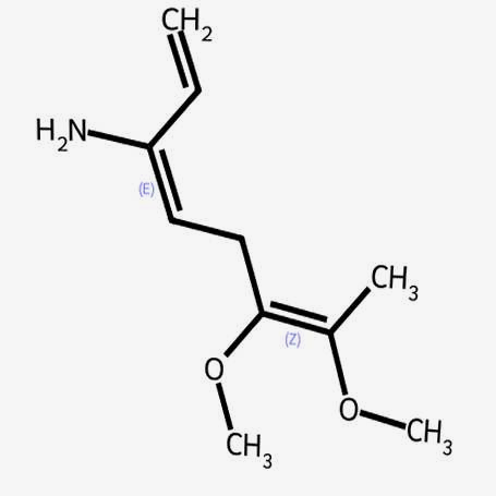 C=C/C(N)=C\C/C(OC)=C(\C)OC